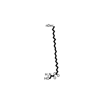 CCCCCCCCCCCCCCCCCCCCCCCCCCCCCCCCCC(=O)OC(=O)[C@@H](N)CO